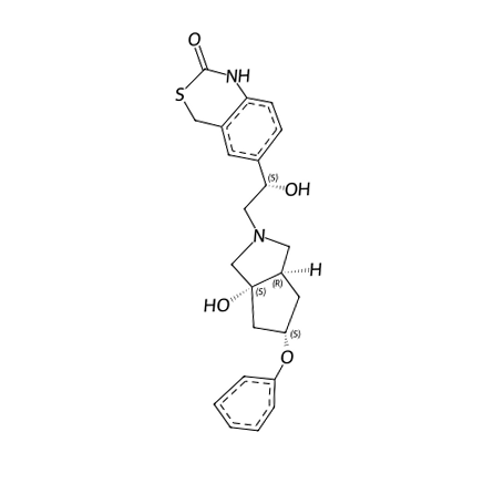 O=C1Nc2ccc([C@H](O)CN3C[C@H]4C[C@H](Oc5ccccc5)C[C@@]4(O)C3)cc2CS1